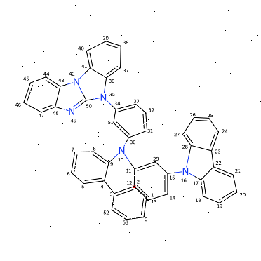 c1ccc(-c2ccccc2N(c2cccc(-n3c4ccccc4c4ccccc43)c2)c2cccc(-n3c4ccccc4n4c5ccccc5nc34)c2)cc1